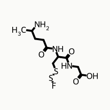 CC(N)CCC(=O)NC(CSSF)C(=O)NCC(=O)O